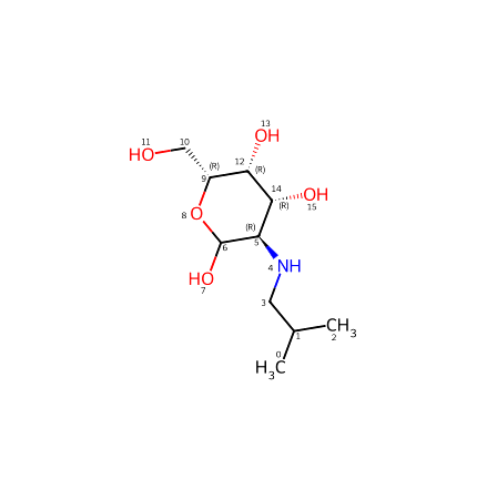 CC(C)CN[C@H]1C(O)O[C@H](CO)[C@H](O)[C@@H]1O